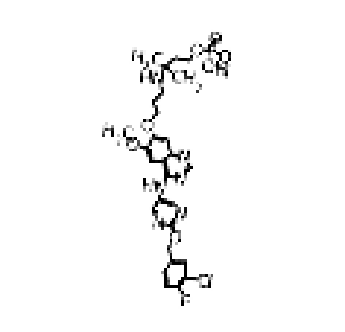 COc1cc2c(Nc3cnc(OCc4ccc(F)c(Cl)c4)nc3)ncnc2cc1OCCCNC(C)(C)CCOP(=O)(O)O